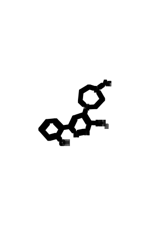 CC(=O)N1CCCN(c2cc(-c3ccccc3O)nnc2N)CC1